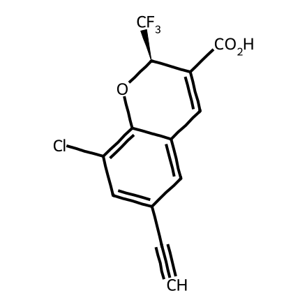 C#Cc1cc(Cl)c2c(c1)C=C(C(=O)O)[C@H](C(F)(F)F)O2